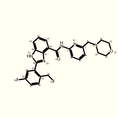 O=C(Nc1cccc(CN2CCOCC2)n1)c1cccc2[nH]c(-c3cc(F)ccc3CF)nc12